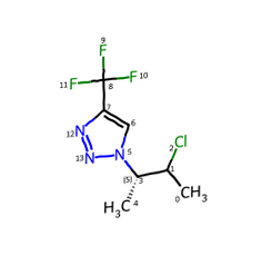 CC(Cl)[C@H](C)n1cc(C(F)(F)F)nn1